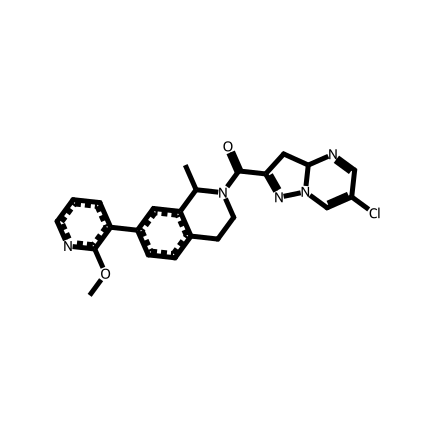 COc1ncccc1-c1ccc2c(c1)C(C)N(C(=O)C1=NN3C=C(Cl)C=NC3C1)CC2